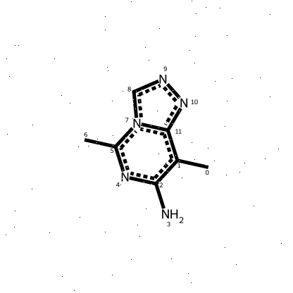 Cc1c(N)nc(C)n2cnnc12